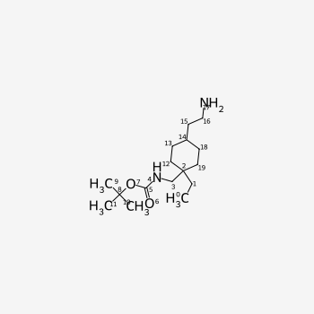 CCC1(CNC(=O)OC(C)(C)C)CCC(CCN)CC1